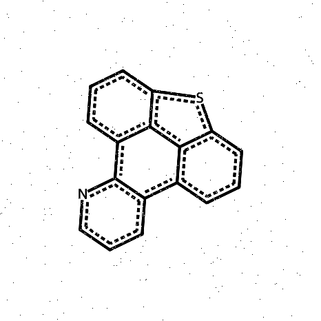 c1cnc2c(c1)c1cccc3sc4cccc2c4c31